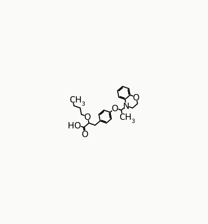 CCCCOC(Cc1ccc(OC(C)N2CCOc3ccccc32)cc1)C(=O)O